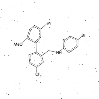 COc1ccc(C(C)C)cc1-c1ccc(C(F)(F)F)cc1CNc1ccc(Br)cn1